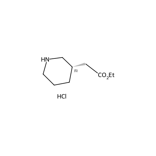 CCOC(=O)C[C@@H]1CCCNC1.Cl